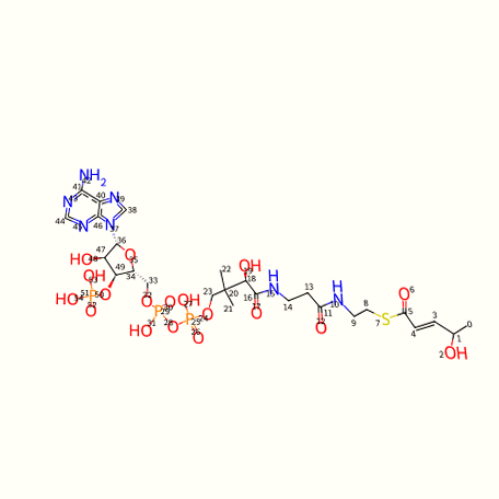 CC(O)C=CC(=O)SCCNC(=O)CCNC(=O)[C@H](O)C(C)(C)COP(=O)(O)OP(=O)(O)OC[C@H]1O[C@@H](n2cnc3c(N)ncnc32)[C@H](O)[C@@H]1OP(=O)(O)O